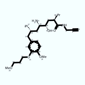 C#CCNC(=O)[C@@H](C[C@H](O)[C@@H](N)C[C@H](Cc1ccc(OC)c(OCCCOC)c1)C(C)C)C(C)C